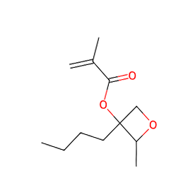 C=C(C)C(=O)OC1(CCCC)COC1C